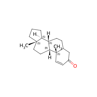 C[C@@]12CCC[C@H]1[C@@H]1CCC3CC(=O)C=C[C@]3(C)[C@@H]1CC2